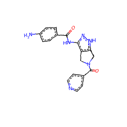 Nc1ccc(C(=O)Nc2n[nH]c3c2CN(C(=O)c2ccncc2)C3)cc1